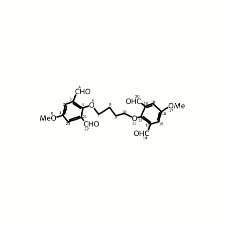 COc1cc(C=O)c(OCCCCOc2c(C=O)cc(OC)cc2C=O)c(C=O)c1